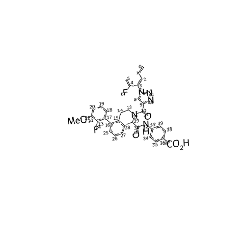 C=C/C=C(\C(=C)F)n1cc(C(=O)N2CCc3c(-c4cccc(OC)c4F)cccc3C2C(=O)Nc2ccc(C(=O)O)cc2)nn1